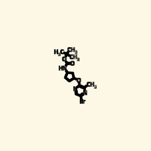 Cc1nc(Br)cnc1OC1CCC(NC(=O)OC(C)(C)C)C1